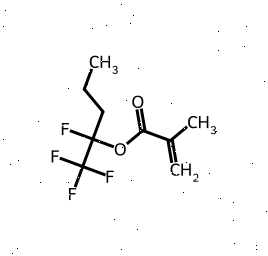 C=C(C)C(=O)OC(F)(CCC)C(F)(F)F